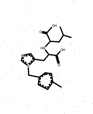 CC(C)CC(NC(Cc1cncn1Cc1ccc(I)cc1)C(=O)O)C(=O)O